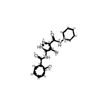 O=C(Nc1[nH]nc(C(=O)NN2CCCCC2)c1Br)c1ccccc1Cl